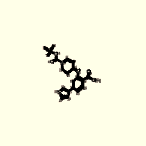 CC(C)(C)OC(=O)N1CCC(Oc2cc(-c3ccsc3)ccc2C(=O)O)CC1